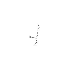 CCCC[SiH](Br)CC